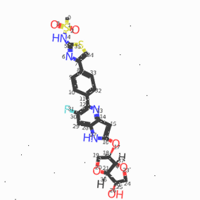 CS(=O)(=O)Nc1nc(-c2ccc(-c3nc4cc(O[C@@H]5CO[C@H]6[C@@H]5OC[C@H]6O)[nH]c4cc3F)cc2)cs1